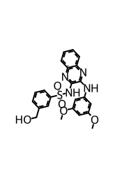 COc1cc(Nc2nc3ccccc3nc2NS(=O)(=O)c2cccc(CO)c2)cc(OC)c1